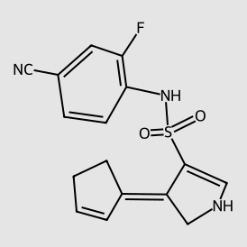 N#Cc1ccc(NS(=O)(=O)C2=CNCC2=C2C=CCC2)c(F)c1